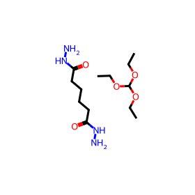 CCOC(OCC)OCC.NNC(=O)CCCCC(=O)NN